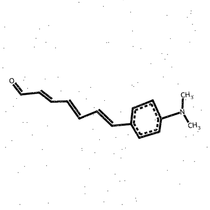 CN(C)c1ccc(C=CC=CC=CC=O)cc1